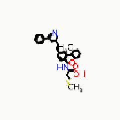 CSCCC(NC(=O)c1ccc(CCc2cncc(-c3ccccc3)c2)cc1-c1ccccc1C)C(=O)O